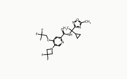 Cc1nc(C(C)(NC(=O)c2cc(OCC(F)(F)F)c(N3CC(F)(F)C3)cn2)C2CC2)no1